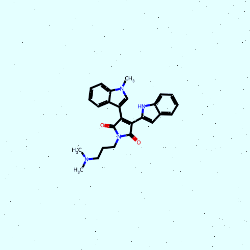 CN(C)CCCN1C(=O)C(c2cc3ccccc3[nH]2)=C(c2cn(C)c3ccccc23)C1=O